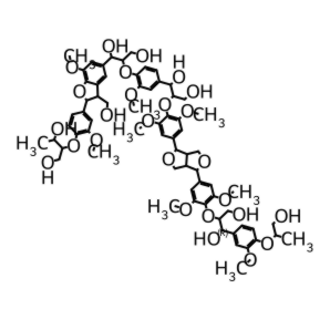 COc1cc([C@@H](O)C(CO)Oc2c(OC)cc(C3OCC4C(c5cc(OC)c(OC(CO)C(O)c6ccc(OC(CO)C(O)c7cc(OC)c8c(c7)C(CO)C(c7ccc(OC(CO)C(C)O)c(OC)c7)O8)c(OC)c6)c(OC)c5)OCC34)cc2OC)ccc1OC(C)CO